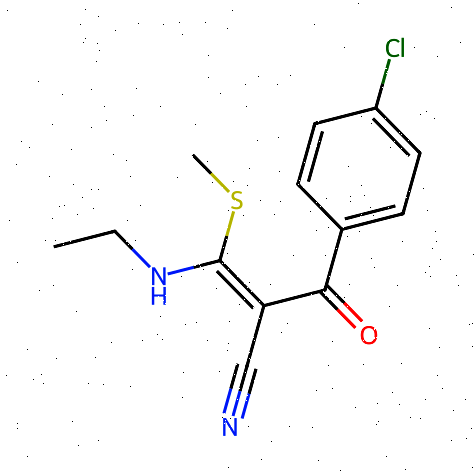 CCNC(SC)=C(C#N)C(=O)c1ccc(Cl)cc1